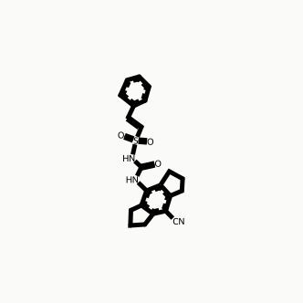 N#Cc1c2c(c(NC(=O)NS(=O)(=O)/C=C/c3ccccc3)c3c1CCC3)CCC2